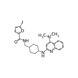 CN(C)c1cc(NC2CCC(CNC(=O)c3ccc(I)o3)CC2)nc2ccccc12